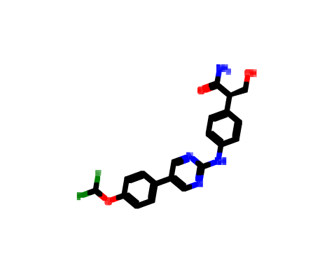 NC(=O)[C@@H](CO)c1ccc(Nc2ncc(-c3ccc(OC(F)F)cc3)cn2)cc1